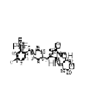 Cc1ccc(CN2CCC(/C=C3\SC(=O)N=C3N[C@H]3CCOC[C@@H]3O)CC2)c(C(F)(F)F)c1